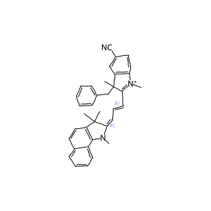 CN1/C(=C/C=C/C2=[N+](C)c3ccc(C#N)cc3C2(C)Cc2ccccc2)C(C)(C)c2ccc3ccccc3c21